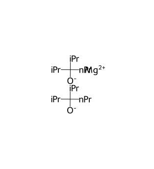 CCCC([O-])(C(C)C)C(C)C.CCCC([O-])(C(C)C)C(C)C.[Mg+2]